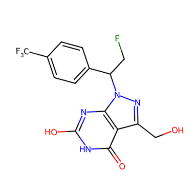 O=c1[nH]c(O)nc2c1c(CO)nn2C(CF)c1ccc(C(F)(F)F)cc1